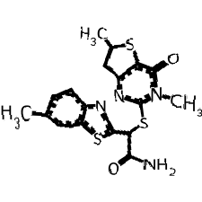 Cc1ccc2nc(C(Sc3nc4c(c(=O)n3C)SC(C)C4)C(N)=O)sc2c1